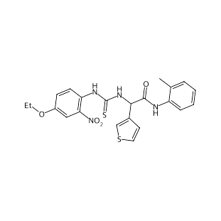 CCOc1ccc(NC(=S)NC(C(=O)Nc2ccccc2C)c2ccsc2)c([N+](=O)[O-])c1